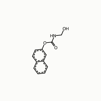 O=C(NCO)Oc1ccc2ccccc2c1